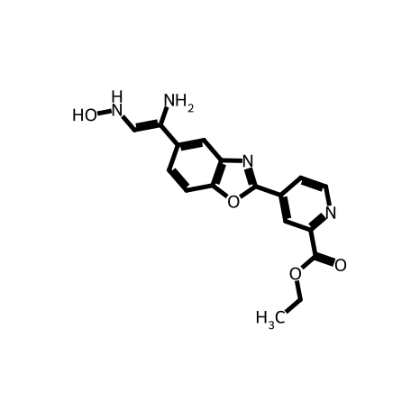 CCOC(=O)c1cc(-c2nc3cc(/C(N)=C/NO)ccc3o2)ccn1